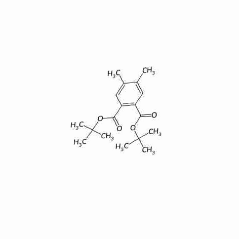 Cc1cc(C(=O)OC(C)(C)C)c(C(=O)OC(C)(C)C)cc1C